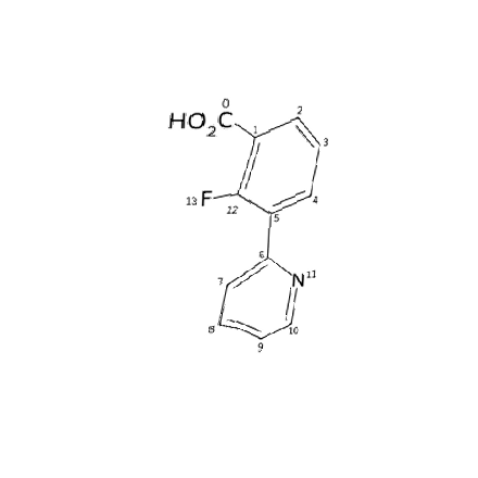 O=C(O)c1cccc(-c2ccccn2)c1F